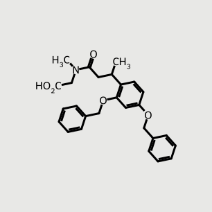 CC(CC(=O)N(C)CC(=O)O)c1ccc(OCc2ccccc2)cc1OCc1ccccc1